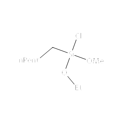 CCCCCC[Si](Cl)(OC)OCC